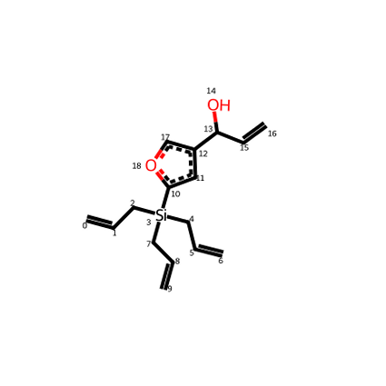 C=CC[Si](CC=C)(CC=C)c1cc(C(O)C=C)co1